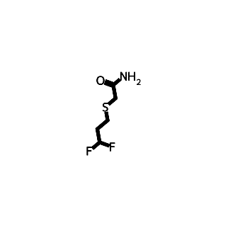 NC(=O)CSCCC(F)F